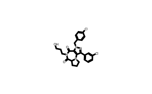 O=C1c2c(c(-c3cccc(Cl)c3)nn2Cc2ccc(Cl)cc2)N2CCCC2C(=O)N1CCCO